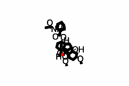 CCN1C[C@]2(OC(=O)c3ccccc3NC(C)=O)CC[C@H](O)C34C1C(C[C@@H]32)[C@@]1(O)C[C@H](OC)C[C@H](OC)[C@@]1(O)[C@H]4C